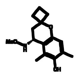 CON[C@@H]1CC2(CCC2)Oc2cc(C)c(O)c(C)c21